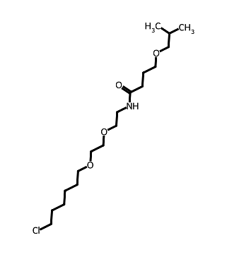 CC(C)COCCCC(=O)NCCOCCOCCCCCCCl